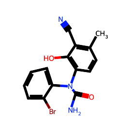 Cc1ccc(N(C(N)=O)c2ccccc2Br)c(O)c1C#N